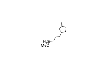 CO[SiH2]CCCC1CCN(C)C1